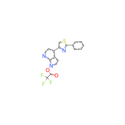 O=C(On1ccc2c(-c3csc(-c4ccccc4)n3)ccnc21)C(F)(F)F